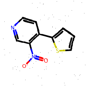 O=[N+]([O-])c1cnccc1-c1cccs1